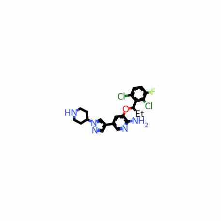 CCC(Oc1cc(-c2cnn(C3CCNCC3)c2)cnc1N)c1c(Cl)ccc(F)c1Cl